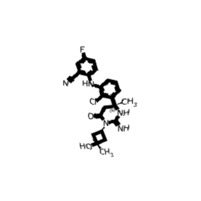 C[C@@]1(c2cccc(Nc3ccc(F)cc3C#N)c2Cl)CC(=O)N([C@H]2C[C@@](C)(O)C2)C(=N)N1